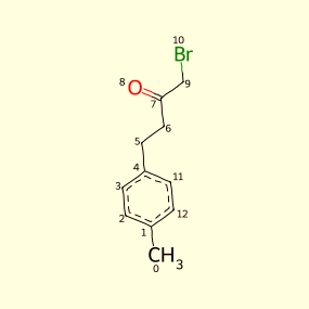 Cc1ccc(CCC(=O)CBr)cc1